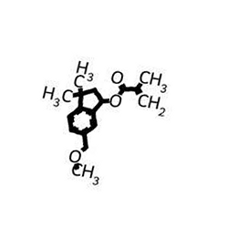 C=C(C)C(=O)OC1CC(C)(C)c2ccc(COC)cc21